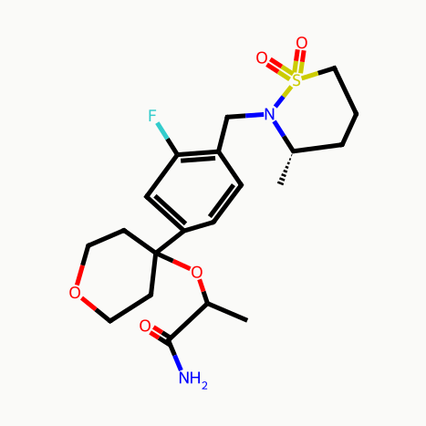 CC(OC1(c2ccc(CN3[C@@H](C)CCCS3(=O)=O)c(F)c2)CCOCC1)C(N)=O